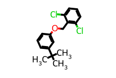 CC(C)(C)c1cccc(OCc2c(Cl)cccc2Cl)c1